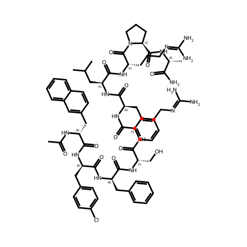 CC(=O)N[C@H](Cc1ccc2ccccc2c1)C(=O)N[C@H](Cc1ccc(Cl)cc1)C(=O)N[C@H](Cc1ccccc1)C(=O)N[C@@H](CO)C(=O)N[C@@H](CCCN=C(N)N)C(=O)N[C@H](Cc1cccnc1)C(=O)N[C@@H](CC(C)C)C(=O)N[C@@H](CCCN=C(N)N)C(=O)N1CCC[C@H]1C(=O)N[C@H](C)C(N)=O